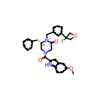 COc1ccc2[nH]c(C(=O)N3CC(=O)N(Cc4cccc(C5(F)COC5)c4)[C@@H](Cc4ccccc4)C3)cc2c1